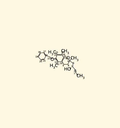 C/C=C/[C@H](O)C[C@]1(C)CCc2c(C)c(OCc3ccccc3)c(C)c(C)c2O1